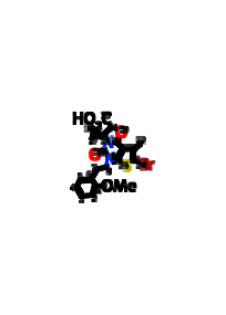 COc1ccccc1CCn1c(=O)n(C2(CC(=O)O)CC2)c(=O)c2c(C)c(Br)sc21